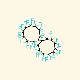 FC1(F)C(F)(F)C(F)(F)C(F)(F)C(F)(F)C(F)(C2(F)C(F)(F)C(F)(F)C(F)(F)C(F)(F)C(F)(F)C(F)(F)C(F)(F)C(F)(F)C2(F)F)C(F)(F)C(F)(F)C(F)(F)C1(F)F